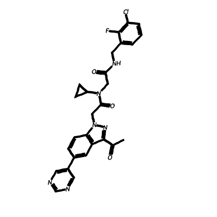 CC(=O)c1nn(CC(=O)N(CC(=O)NCc2cccc(Cl)c2F)C2CC2)c2ccc(-c3cncnc3)cc12